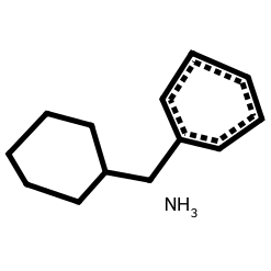 N.c1ccc(CC2CCCCC2)cc1